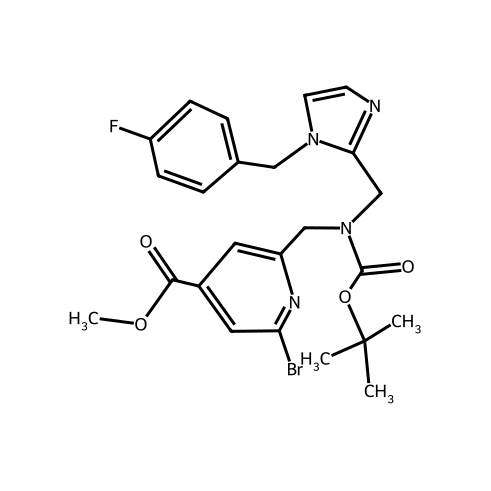 COC(=O)c1cc(Br)nc(CN(Cc2nccn2Cc2ccc(F)cc2)C(=O)OC(C)(C)C)c1